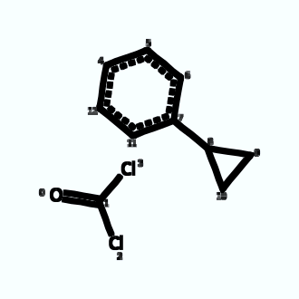 O=C(Cl)Cl.c1ccc(C2CC2)cc1